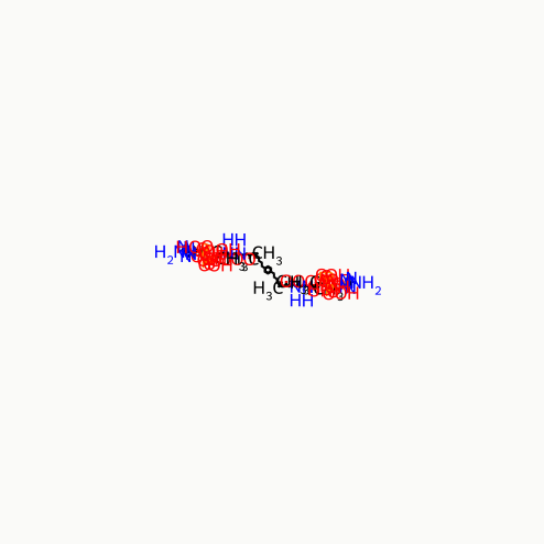 CC(C)(CCCCc1ccc(CCCCC(C)(C)CC(=O)CCNC(=O)CCNC(=O)C(O)C(C)(C)COP(=O)(O)OP(=O)(O)OCC2OC(n3cnc4c(N)ncnc43)C(O)C2OP(=O)(O)O)cc1)CC(=O)CCNC(=O)CCNC(=O)C(O)C(C)(C)COP(=O)(O)OP(=O)(O)OCC1OC(n2cnc3c(N)ncnc32)C(O)C1OP(=O)(O)O